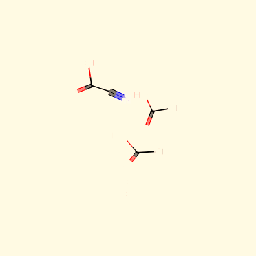 CC(=O)O.CC(=O)O.N#CC(=O)O.O.[La]